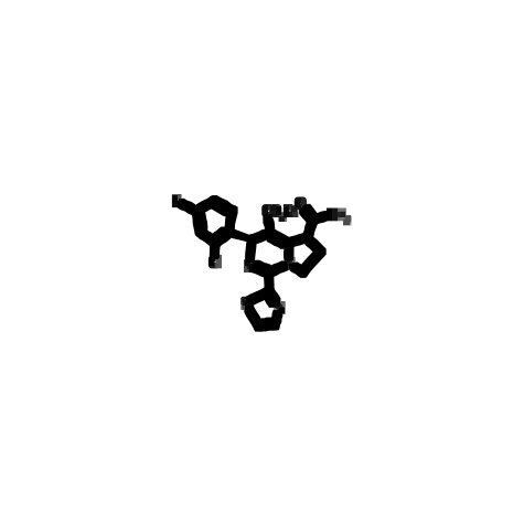 CCOC(=O)C1=C2C(C(N)=O)CCN2C(c2nccs2)=N[C@H]1c1ccc(F)cc1Cl